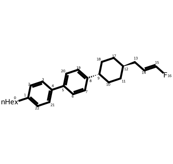 CCCCCCc1ccc(-c2ccc([C@H]3CC[C@H](CC=CF)CC3)cc2)cc1